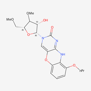 CCCOc1cccc2c1Nc1nc(=O)n([C@@H]3O[C@H](COC)C(OC)[C@@H]3O)cc1O2